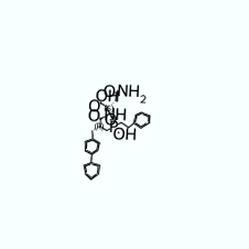 NC(=O)C[C@H](NC(=O)[C@@H](Cc1ccc(-c2ccccc2)cc1)CP(=O)(O)CCc1ccccc1)C(=O)O